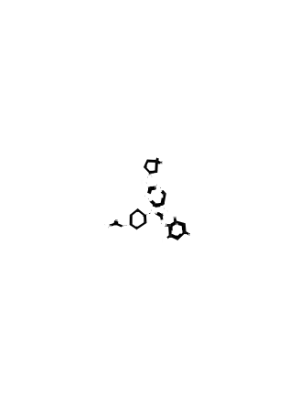 NC(=O)C[C@H]1CC[C@@H](n2c(Nc3c(F)cc(F)cc3Cl)nc3cnc(N[C@H]4CCC(F)(F)C4)nc32)CC1